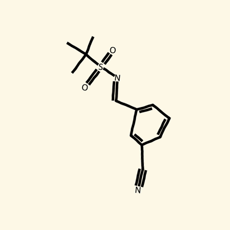 CC(C)(C)S(=O)(=O)N=Cc1cccc(C#N)c1